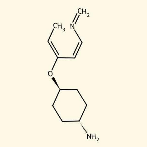 C=N/C=C\C(=C/C)O[C@H]1CC[C@H](N)CC1